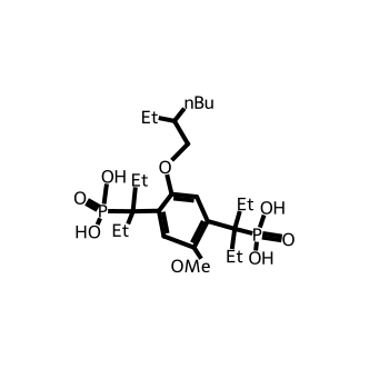 CCCCC(CC)COc1cc(C(CC)(CC)P(=O)(O)O)c(OC)cc1C(CC)(CC)P(=O)(O)O